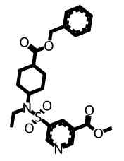 CCN(C1CCC(C(=O)OCc2ccccc2)CC1)S(=O)(=O)c1cncc(C(=O)OC)c1